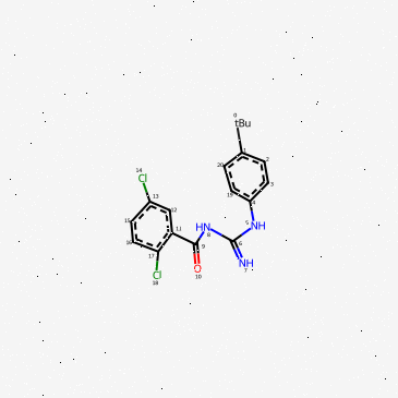 CC(C)(C)c1ccc(NC(=N)NC(=O)c2cc(Cl)ccc2Cl)cc1